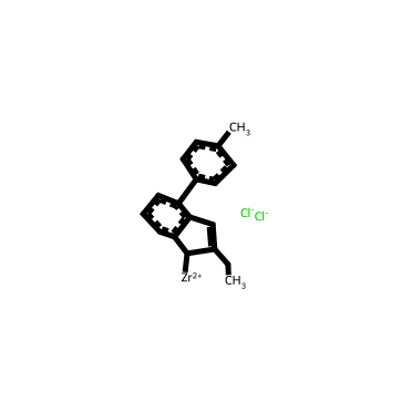 CCC1=Cc2c(-c3ccc(C)cc3)cccc2[CH]1[Zr+2].[Cl-].[Cl-]